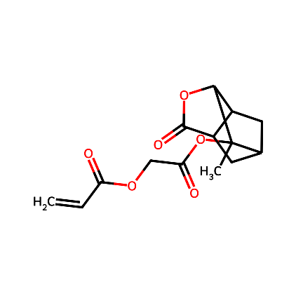 C=CC(=O)OCC(=O)OC1(C)C2CC3C(=O)OC1C3C2